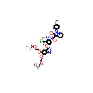 COCCOc1cc2ncnc(Oc3ccc(NC(=O)c4c5n(n(-c6ccc(F)cc6)c4=O)CCCC5)cc3C(F)(F)F)c2cc1OCCOC